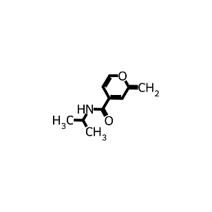 C=C1C=C(C(=O)NC(C)C)C=CO1